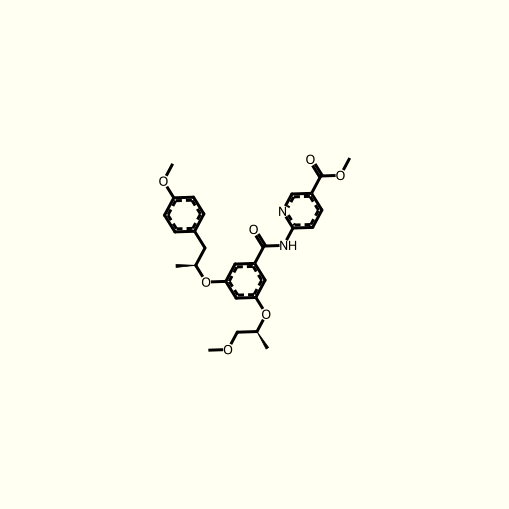 COC[C@H](C)Oc1cc(O[C@@H](C)Cc2ccc(OC)cc2)cc(C(=O)Nc2ccc(C(=O)OC)cn2)c1